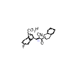 N#C/C(=C\c1cn(CC(=O)O)c2ccc(F)cc12)C(=O)N1CCc2ccccc2C1